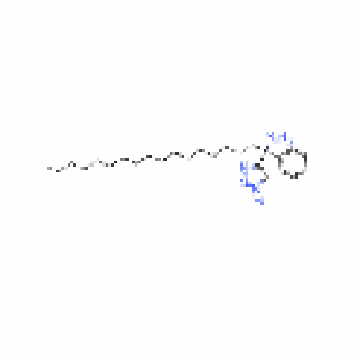 CCCCCCCCCCCCCCCCCC(N)(c1ccccc1)c1c[nH]nn1